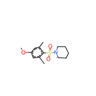 COc1cc(C)c(S(=O)(=O)N2[CH]CCCC2)c(C)c1